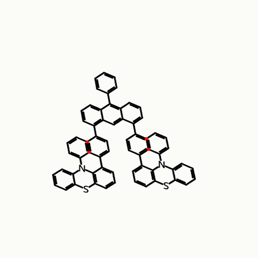 c1ccc(-c2c3cccc(-c4ccc(-c5cccc6c5N(c5ccccc5)c5ccccc5S6)cc4)c3cc3c(-c4ccc(-c5cccc6c5N(c5ccccc5)c5ccccc5S6)cc4)cccc23)cc1